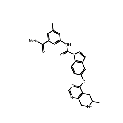 CNC(=O)c1cc(C)cc(NC(=O)n2ccc3cc(Oc4ncnc5c4CC(C)NC5)ccc32)c1